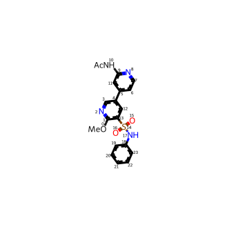 COc1ncc(-c2ccnc(NC(C)=O)c2)cc1S(=O)(=O)Nc1ccccc1